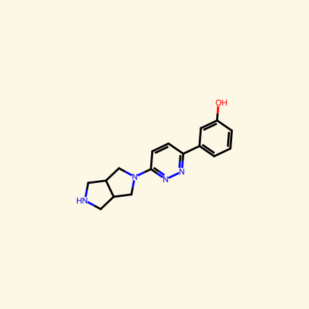 Oc1cccc(-c2ccc(N3CC4CNCC4C3)nn2)c1